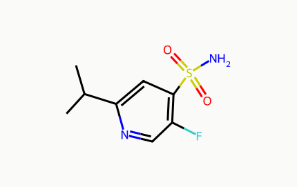 CC(C)c1cc(S(N)(=O)=O)c(F)cn1